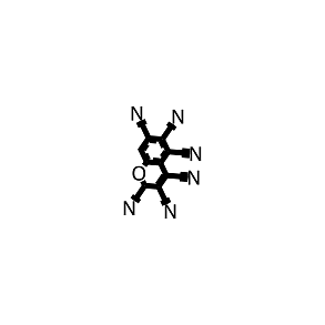 N#CC1=C(C#N)C(C#N)Oc2cc(C#N)c(C#N)c(C#N)c21